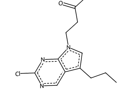 CCCc1cn(CCC(=O)O)c2nc(Cl)ncc12